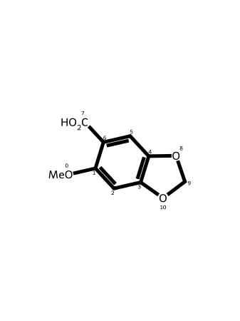 COc1cc2c(cc1C(=O)O)OCO2